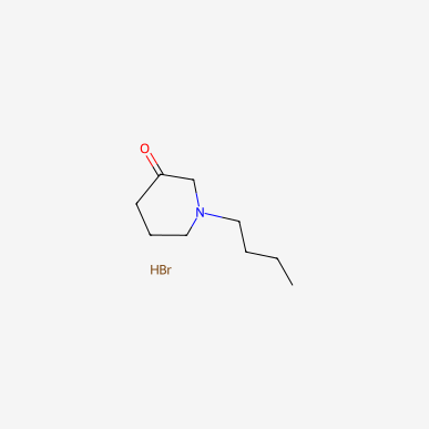 Br.CCCCN1CCCC(=O)C1